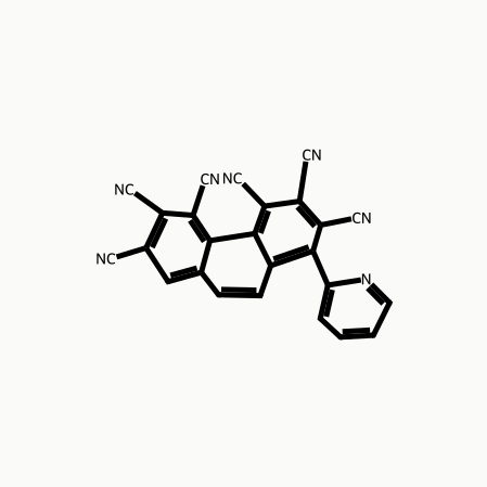 N#Cc1cc2ccc3c(-c4ccccn4)c(C#N)c(C#N)c(C#N)c3c2c(C#N)c1C#N